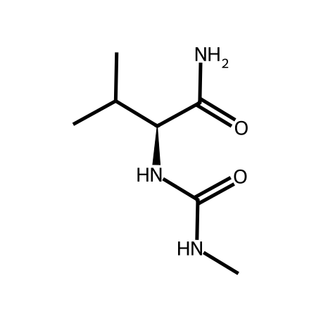 CNC(=O)N[C@H](C(N)=O)C(C)C